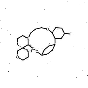 FC1CCC2OCCCN3CCC[C@]4(COCCN4)[C@H]3COC3CCC(CC3)C2C1